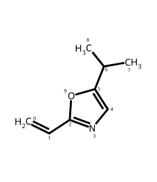 C=Cc1ncc(C(C)C)o1